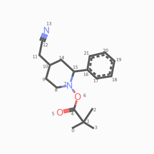 CC(C)(C)C(=O)ON1CCC(CC#N)CC1c1ccccc1